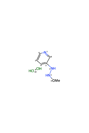 CONNc1cccnc1.Cl.Cl